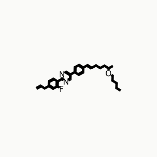 C=CCc1ccc(-c2ncc(-c3ccc(C=CCCCC(C)OCCCCC)cc3)cn2)c(F)c1